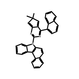 CC1(C)C=c2nc(-n3c4ccccc4c4c5ccccc5ccc43)nc(-c3cccc4ccccc34)c2=C1